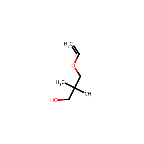 C=COCC(C)(C)CO